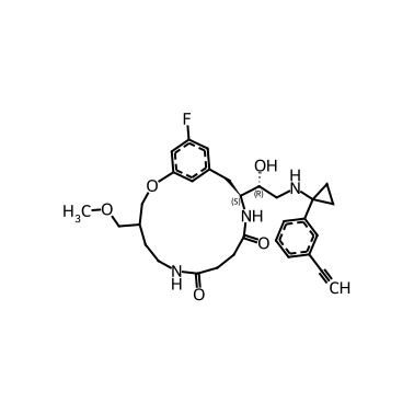 C#Cc1cccc(C2(NC[C@@H](O)[C@@H]3Cc4cc(F)cc(c4)OCC(COC)CCNC(=O)CCC(=O)N3)CC2)c1